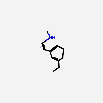 CCC1=CC(/C=C\NC)=CCC1